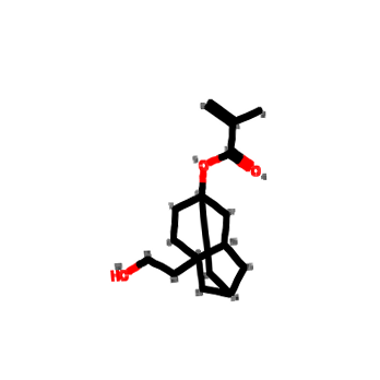 C=C(C)C(=O)OC12CCC3(CCO)CC(CC3C1)C2